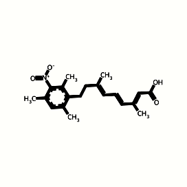 CC(C=CC=C(C)CCc1c(C)cc(C)c([N+](=O)[O-])c1C)=CC(=O)O